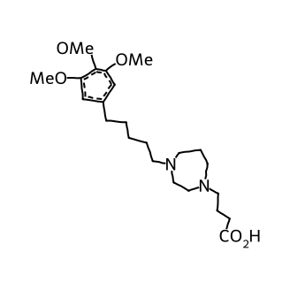 COc1cc(CCCCCN2CCCN(CCCC(=O)O)CC2)cc(OC)c1OC